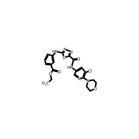 CCOC(=O)c1cccc(Nc2nnc(C(=O)Nc3cnc(N4CCOCC4)c(Cl)c3)o2)c1